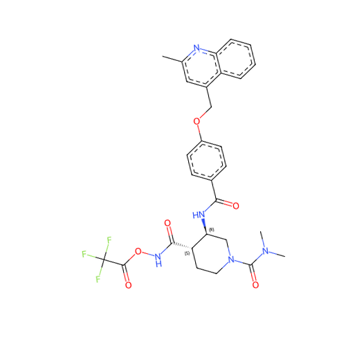 Cc1cc(COc2ccc(C(=O)N[C@H]3CN(C(=O)N(C)C)CC[C@@H]3C(=O)NOC(=O)C(F)(F)F)cc2)c2ccccc2n1